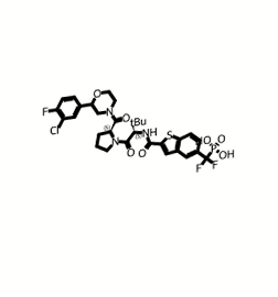 CC(C)(C)[C@H](NC(=O)c1cc2cc(C(F)(F)P(=O)(O)O)ccc2s1)C(=O)N1CCC[C@H]1C(=O)N1CCOC(c2ccc(F)c(Cl)c2)C1